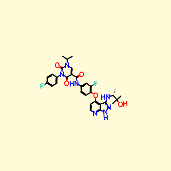 CC(C)n1cc(C(=O)Nc2ccc(Oc3ccnc4[nH]nc(N[C@H](C)C(C)(C)O)c34)c(F)c2)c(=O)n(-c2ccc(F)cc2)c1=O